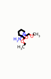 CCOC(=O)C1(N)CCCCN1CCOC